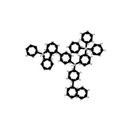 c1ccc(-n2c3ccccc3c3c(-c4ccc(N(c5ccc(-c6cccc7ccccc67)cc5)c5cccc([Si](c6ccccc6)(c6ccccc6)c6ccccc6)c5)cc4)cccc32)cc1